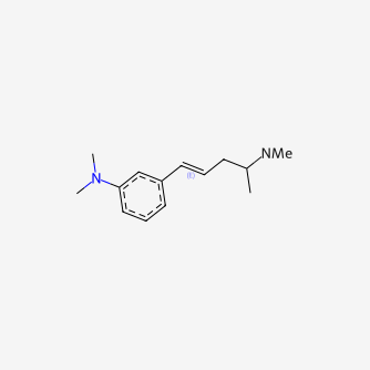 CNC(C)C/C=C/c1cccc(N(C)C)c1